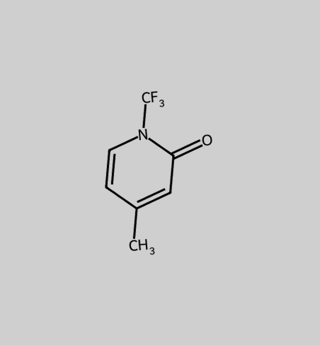 Cc1ccn(C(F)(F)F)c(=O)c1